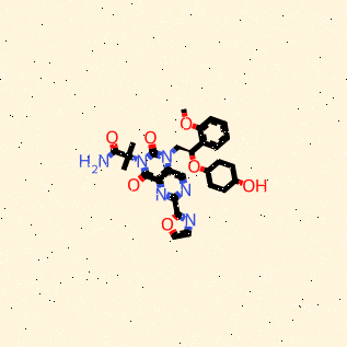 COc1ccccc1[C@H](Cn1c(=O)n(C(C)(C)C(N)=O)c(=O)c2nc(-c3ncco3)ncc21)OC1CCC(O)CC1